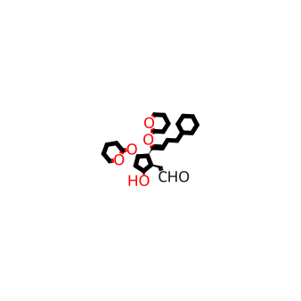 O=CC[C@@H]1[C@@H](C(=CCCC2CCCCC2)OC2CCCCO2)[C@@H](OC2CCCCO2)C[C@@H]1O